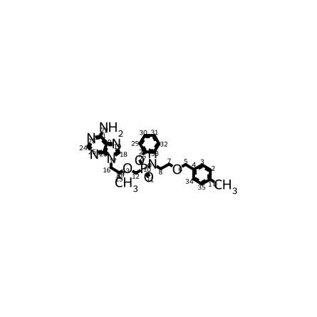 Cc1ccc(COCCNP(=O)(CO[C@H](C)Cn2cnc3c(N)ncnc32)Oc2ccccc2)cc1